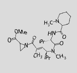 COC(=O)C1CN1C(=O)/C(C)=C/[C@H](C(C)C)N(C)C(=O)[C@@H](NC(=O)C1CCCCN1C)C(C)C